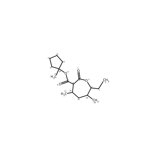 CCC1OC(=O)C(C(=O)OC2(C)CCCC2)C(C)CC1C